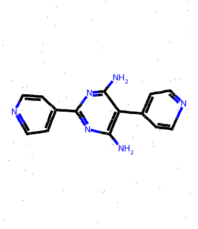 Nc1nc(-c2ccncc2)nc(N)c1-c1ccncc1